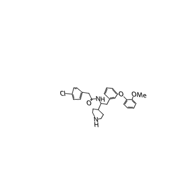 COc1ccccc1Oc1cccc(CC(NC(=O)Cc2ccc(Cl)cc2)C2CCNCC2)c1